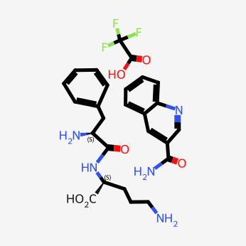 NC(=O)c1cnc2ccccc2c1.NCCC[C@H](NC(=O)[C@@H](N)Cc1ccccc1)C(=O)O.O=C(O)C(F)(F)F